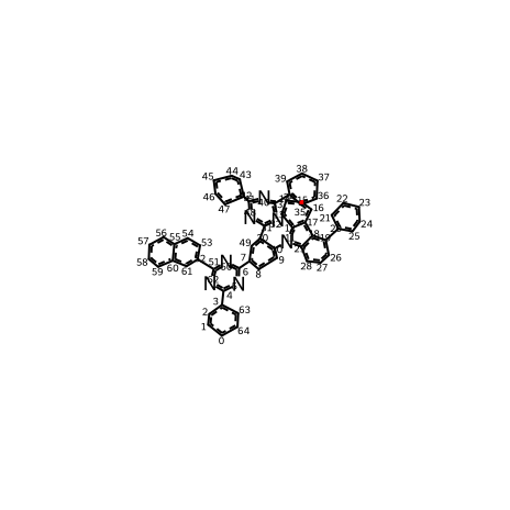 c1ccc(-c2nc(-c3ccc(-n4c5ccccc5c5c(-c6ccccc6)cccc54)c(-c4nc(-c5ccccc5)nc(-c5ccccc5)n4)c3)nc(-c3ccc4ccccc4c3)n2)cc1